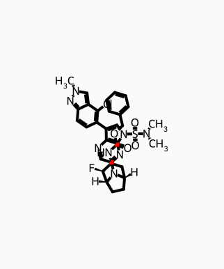 CN(C)S(=O)(=O)n1cc(-c2ccc3nn(C)cc3c2Cl)c2ncc(N3[C@H]4CC[C@@H]3[C@@H](F)[C@H](NC(=O)OCc3ccccc3)C4)nc21